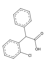 O=C(O)C(c1ccccc1)c1ccccc1Cl